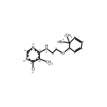 CCCCC1(C)C=CC=CC1OCCNc1ncnc(Cl)c1C